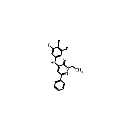 CCn1nc(-c2ccccc2)cc(Nc2cc(F)c(F)c(F)c2)c1=O